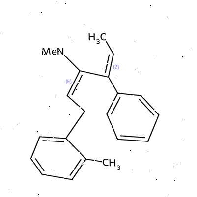 C/C=C(\C(=C/Cc1ccccc1C)NC)c1ccccc1